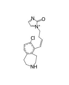 O=C1N=CC=[N+]1CC/C=C\c1c(Cl)ccc2c1CCNCC2